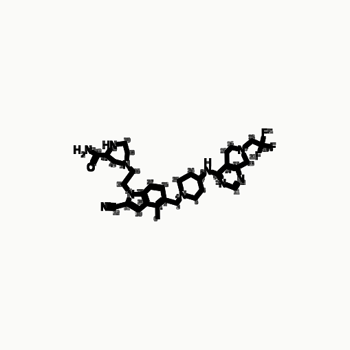 Cc1c(CN2CCC(Nc3ncnc4c3CCN(CC(F)(F)F)C4)CC2)ccc2c1cc(C#N)n2CCN1CCNC(C(N)=O)C1